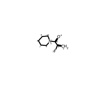 C=C(F)C(=O)N1CCCCC1